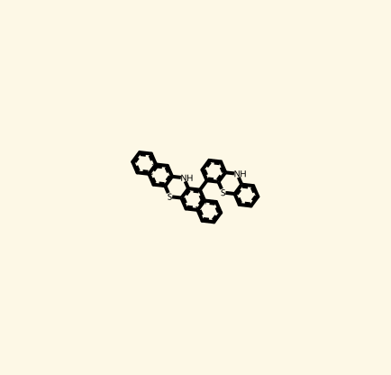 c1ccc2c(c1)Nc1cccc(-c3c4c(cc5ccccc35)Sc3cc5ccccc5cc3N4)c1S2